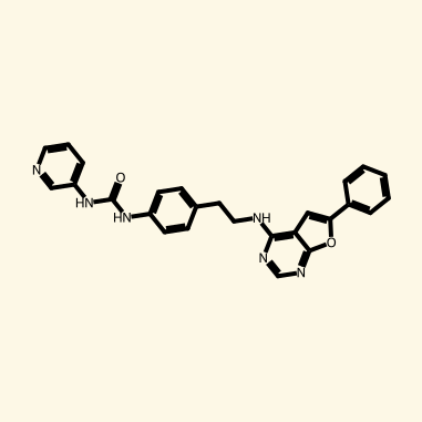 O=C(Nc1ccc(CCNc2ncnc3oc(-c4ccccc4)cc23)cc1)Nc1cccnc1